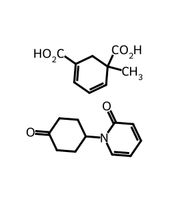 CC1(C(=O)O)C=CC=C(C(=O)O)C1.O=C1CCC(n2ccccc2=O)CC1